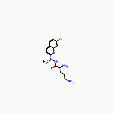 CN(NC(=O)[C@@H](N)CCCN)c1ccc2ccc(Br)cc2n1